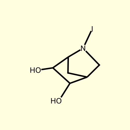 OC1C2CC(C1O)N(I)C2